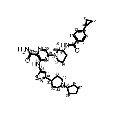 C[C@@H]1[C@H](NC(=O)c2ccc(C3CC3)cc2)CCCN1c1cnc(C(N)=O)c(Nc2cc(C3CCN(C4CCCC4)CC3)ns2)n1